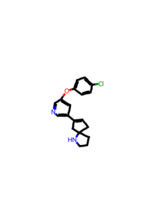 Clc1ccc(Oc2cncc(C3=CCC4(CCCN4)C3)c2)cc1